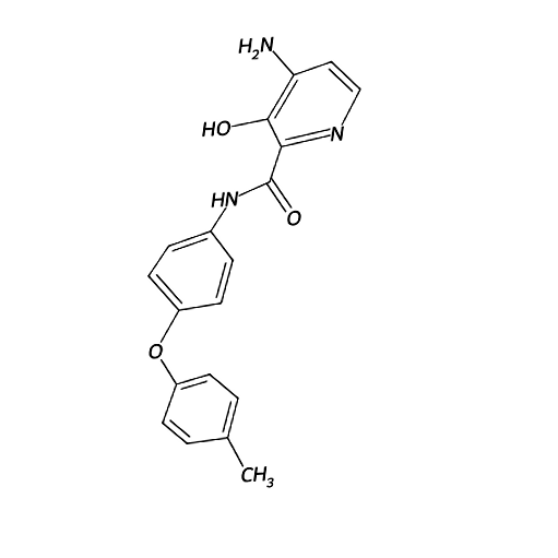 Cc1ccc(Oc2ccc(NC(=O)c3nccc(N)c3O)cc2)cc1